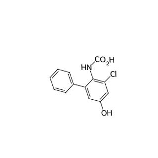 O=C(O)Nc1c(Cl)cc(O)cc1-c1ccccc1